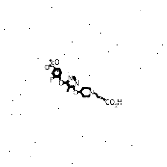 Cc1c(Oc2ccc(S(C)(=O)=O)cc2F)ncnc1OC1CCN(CCCC(=O)O)CC1